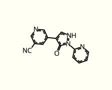 N#Cc1cncc(-c2c[nH]n(-c3ccccn3)c2=O)c1